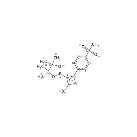 CC12CC(c3ccc(S(C)(=O)=O)cc3)(C1)C2B1OC(C)(C)C(C)(C)O1